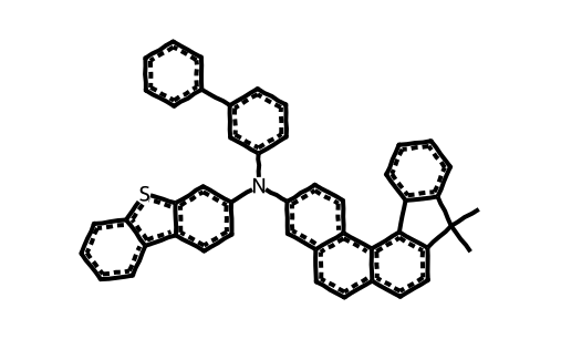 CC1(C)c2ccccc2-c2c1ccc1ccc3cc(N(c4cccc(-c5ccccc5)c4)c4ccc5c(c4)sc4ccccc45)ccc3c21